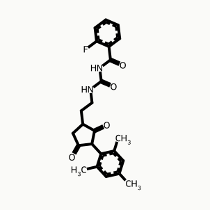 Cc1cc(C)c(C2C(=O)CC(CCNC(=O)NC(=O)c3ccccc3F)C2=O)c(C)c1